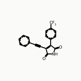 O=C1NC(=O)C(c2ccc(C(F)(F)F)cc2)=C1C#Cc1ccccc1